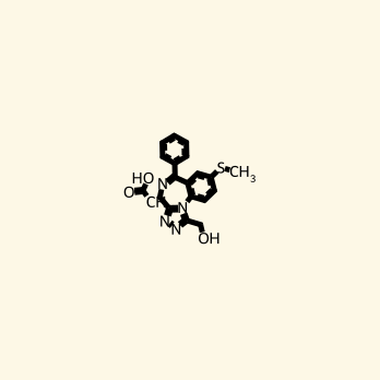 CC(=O)O.CSc1ccc2c(c1)C(c1ccccc1)=NCc1nnc(CO)n1-2